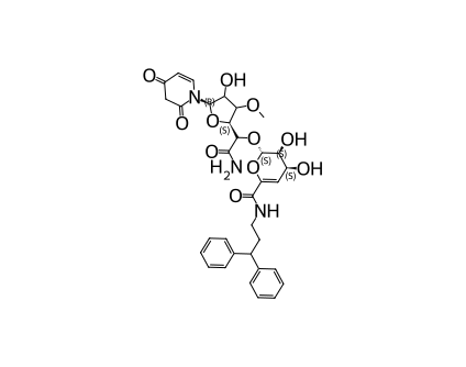 COC1C(O)[C@H](N2C=CC(=O)CC2=O)O[C@@H]1C(O[C@H]1OC(C(=O)NCCC(c2ccccc2)c2ccccc2)=C[C@H](O)[C@@H]1O)C(N)=O